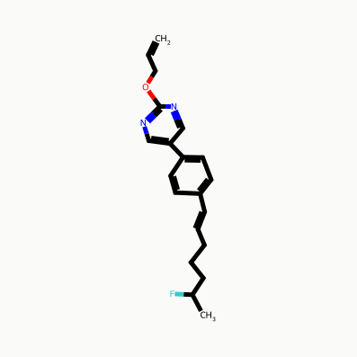 C=CCOc1ncc(-c2ccc(C=CCCCC(C)F)cc2)cn1